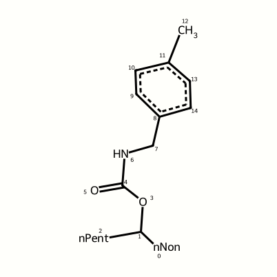 CCCCCCCCCC(CCCCC)OC(=O)NCc1ccc(C)cc1